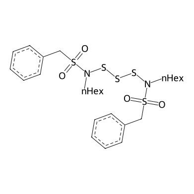 CCCCCCN(SSSN(CCCCCC)S(=O)(=O)Cc1ccccc1)S(=O)(=O)Cc1ccccc1